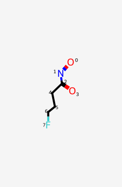 O=NC(=O)CCCF